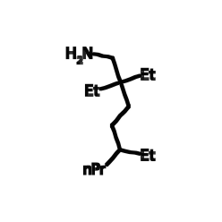 CCCC(CC)CCC(CC)(CC)CN